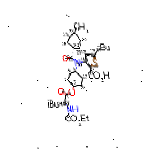 CCOC(=O)N[C@@H](C(=O)O[C@H]1CC[C@H](N(c2cc(C(C)(C)C)sc2C(=O)O)C(=O)[C@H]2CC[C@H](C)CC2)CC1)[C@H](C)CC